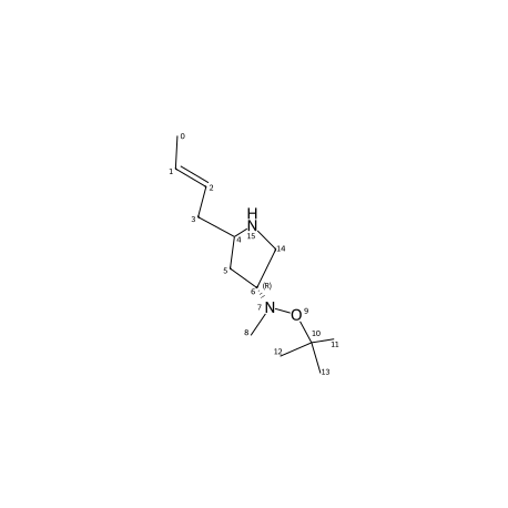 CC=CCC1C[C@@H](N(C)OC(C)(C)C)CN1